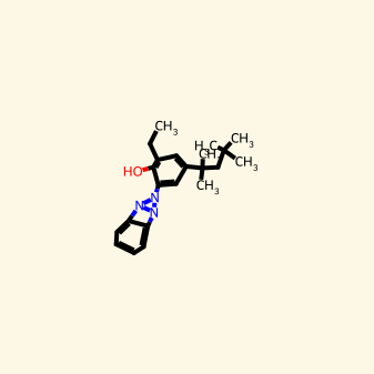 CCc1cc(C(C)(C)CC(C)(C)C)cc(-n2n3c4ccccc4n23)c1O